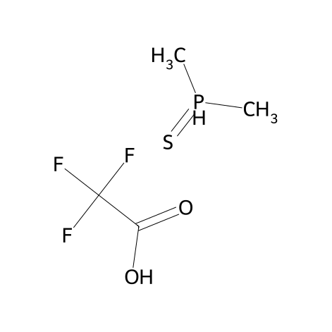 C[PH](C)=S.O=C(O)C(F)(F)F